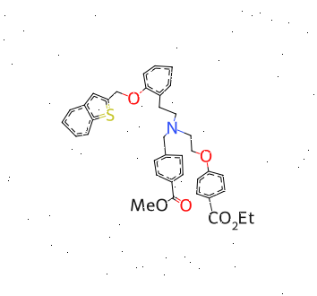 CCOC(=O)c1ccc(OCCN(CCc2ccccc2OCc2cc3ccccc3s2)Cc2ccc(C(=O)OC)cc2)cc1